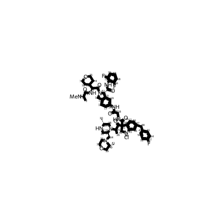 CN[C@@H](C)C(=O)N[C@H](C(=O)N1Cc2ccc(NC(=O)CNC(=O)C3(C(=O)C(C)N4C[C@@H](C)NC[C@@H]4CN4CCOC[C@H]4C)CN(Cl)c4cc(Cc5ccc(F)cc5)ccc43)cc2[C@H]1C(=O)Nc1c(F)cccc1F)C1CCOCC1